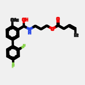 CC/C=C\CC(=O)OCCCNC(O)c1cc(-c2ccc(F)cc2F)ccc1OC(C)=O